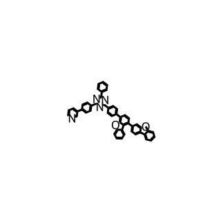 c1ccc(-c2nc(-c3ccc(-c4cccnc4)cc3)nc(-c3ccc(-c4ccc(-c5ccc6c(c5)oc5ccccc56)c5c4oc4ccccc45)cc3)n2)cc1